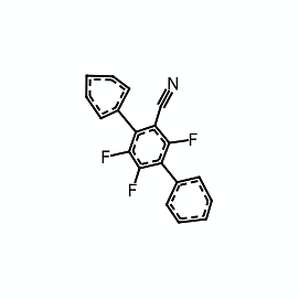 N#Cc1c(F)c(-c2ccccc2)c(F)c(F)c1-c1ccccc1